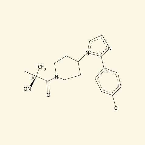 C[C@@](N=O)(C(=O)N1CCC(n2ccnc2-c2ccc(Cl)cc2)CC1)C(F)(F)F